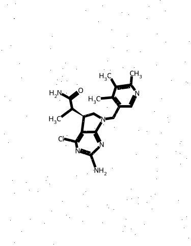 Cc1ncc(CN2C[C@H](C(C)C(N)=O)c3c(Cl)nc(N)nc32)c(C)c1C